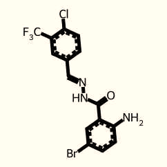 Nc1ccc(Br)cc1C(=O)NN=Cc1ccc(Cl)c(C(F)(F)F)c1